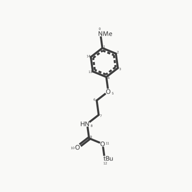 CNc1ccc(OCCNC(=O)OC(C)(C)C)cc1